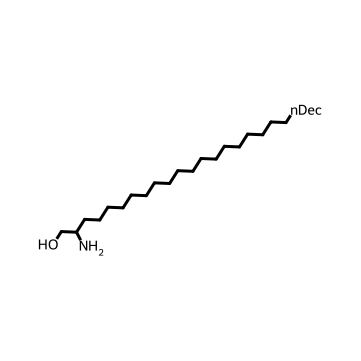 CCCCCCCCCCCCCCCCCCCCCCCCCCCCC(N)CO